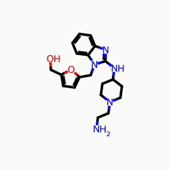 NCCN1CCC(Nc2nc3ccccc3n2Cc2ccc(CO)o2)CC1